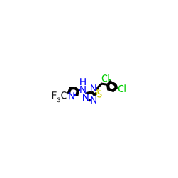 FC(F)(F)c1ccc(Nc2ncnc3sc(Cc4ccc(Cl)cc4Cl)nc23)cn1